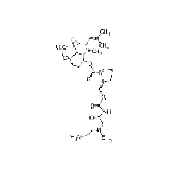 COC1C(OC(=O)N2CCC[C@H]2COC(=O)NC(=O)CN(C)CCN)CC[C@]2(CO2)C1[C@@]1(C)O[C@@H]1CC=C(C)C